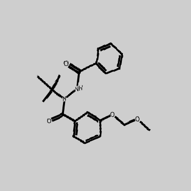 COCOc1cccc(C(=O)N(NC(=O)c2ccccc2)C(C)(C)C)c1